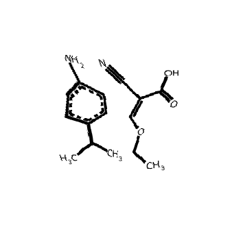 CC(C)c1ccc(N)cc1.CCOC=C(C#N)C(=O)O